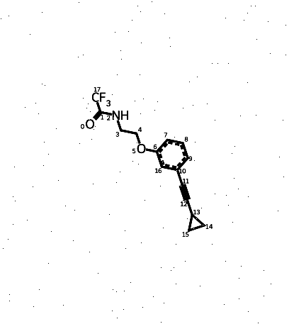 O=C(NCCOc1cccc(C#CC2CC2)c1)C(F)(F)F